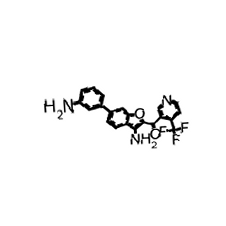 Nc1cccc(-c2ccc3c(N)c(C(=O)c4cnccc4C(F)(F)F)oc3c2)c1